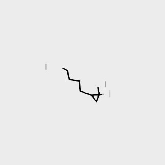 CCCCCC1CC1(C)C